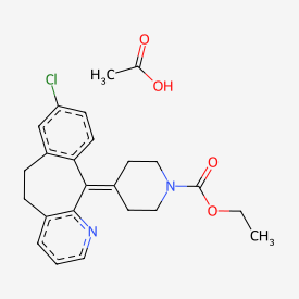 CC(=O)O.CCOC(=O)N1CCC(=C2c3ccc(Cl)cc3CCc3cccnc32)CC1